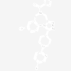 O=C(C1CCC1)N1Cc2cc(Cl)ccc2-n2c(nnc2C2CCN(c3ccc(F)cn3)CC2)C1